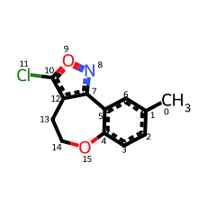 Cc1ccc2c(c1)-c1noc(Cl)c1CCO2